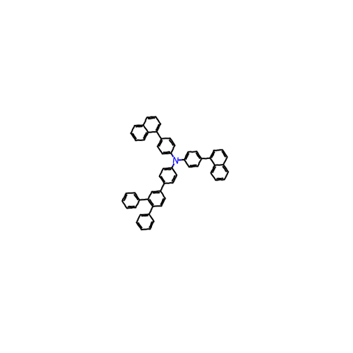 c1ccc(-c2ccc(-c3ccc(N(c4ccc(-c5cccc6ccccc56)cc4)c4ccc(-c5cccc6ccccc56)cc4)cc3)cc2-c2ccccc2)cc1